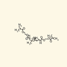 C=C(C)C(=O)OCCOC(=O)NCCC(N)CC(C)(C)CNC(=O)OCCOC(=O)C(=C)C